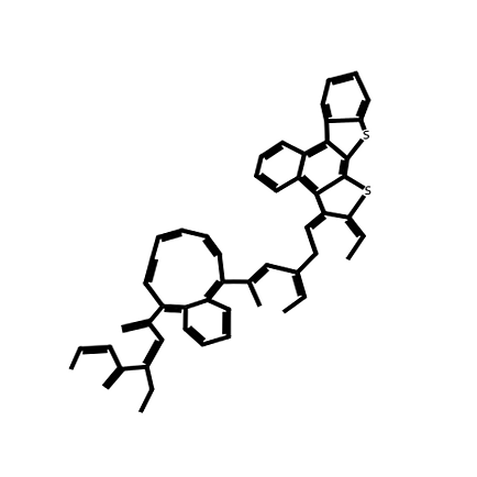 C=C(/C=C\C)/C(=C\C(=C)c1ccccccc(/C(C)=C/C(=C\C)C/C=c2\c(=C/C)sc3c4sc5ccccc5c4c4ccccc4c23)c2ccccc12)CC